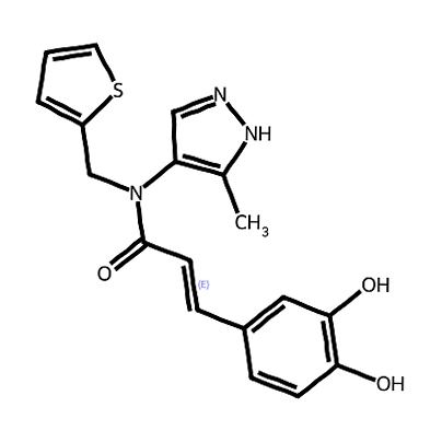 Cc1[nH]ncc1N(Cc1cccs1)C(=O)/C=C/c1ccc(O)c(O)c1